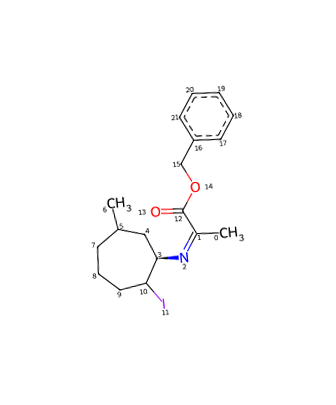 C/C(=N/[C@@H]1CC(C)CCCC1I)C(=O)OCc1ccccc1